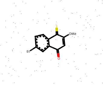 CCc1ccc2c(c1)C(=O)C=C(OC)C2=S